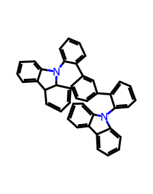 C1=CC2c3ccccc3N(c3ccccc3-c3cccc(-c4ccccc4-n4c5ccccc5c5ccccc54)c3)C2C=C1